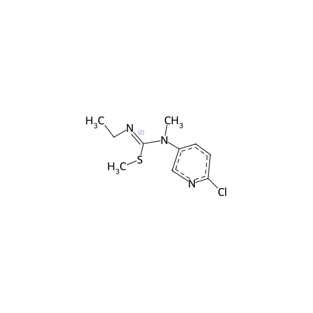 CC/N=C(\SC)N(C)c1ccc(Cl)nc1